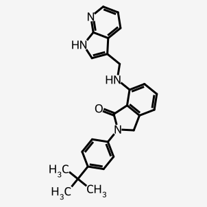 CC(C)(C)c1ccc(N2Cc3cccc(NCc4c[nH]c5ncccc45)c3C2=O)cc1